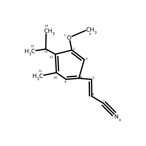 COc1cc(/C=C/C#N)cc(C)c1C(C)C